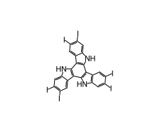 Ic1cc2[nH]c3c(c2cc1I)c1[nH]c2cc(I)c(I)cc2c1c1[nH]c2cc(I)c(I)cc2c31